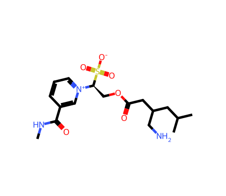 CNC(=O)c1ccc[n+]([C@H](COC(=O)CC(CN)CC(C)C)S(=O)(=O)[O-])c1